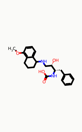 COc1cccc2c1CCCC2NC[C@H](O)[C@H](Cc1ccccc1)NC(=O)O